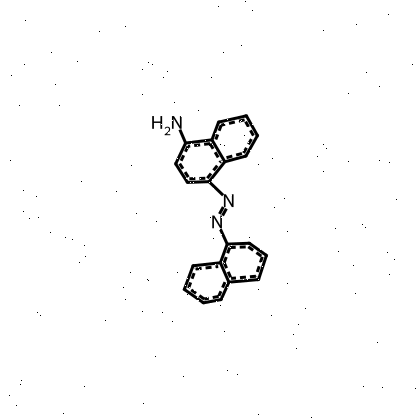 Nc1ccc(N=Nc2cccc3ccccc23)c2ccccc12